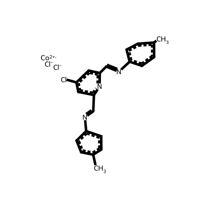 Cc1ccc(N=Cc2cc(Cl)cc(C=Nc3ccc(C)cc3)n2)cc1.[Cl-].[Cl-].[Co+2]